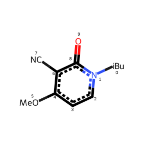 CCC(C)n1ccc(OC)c(C#N)c1=O